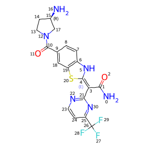 NC(=O)/C(=C1\Nc2ccc(C(=O)N3CC[C@@H](N)C3)cc2S1)c1nccc(C(F)(F)F)n1